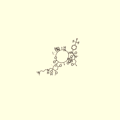 CC[C@H]1OC(=O)[C@H](C)[C@@H](O[C@H]2C[C@@](C)(OC)[C@](O)(CNCCCN(C)C)[C@H](C)O2)[C@H](C)[C@@H](O[C@@H]2O[C@H](C)C[C@H](N(C)S(=O)(=O)Nc3ccc(C(F)(F)F)cc3)[C@H]2O)[C@](C)(O)C[C@@H](C)CN[C@H](C)[C@@H](O)[C@]1(C)O